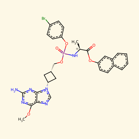 COc1nc(N)nc2c1ncn2[C@H]1C[C@@H](COP(=O)(N[C@@H](C)C(=O)Oc2ccc3ccccc3c2)Oc2ccc(Br)cc2)C1